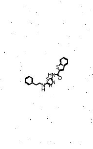 O=C(Nc1nnc(NCCc2ccccc2)s1)c1cc2ccccc2s1